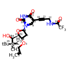 C=CCO[C@H]1C[C@H](n2cc(C#CCNC(=O)C(F)(F)F)c(=O)[nH]c2=O)O[C@@H]1C(O)[Si](C)(C)C(C)(C)C